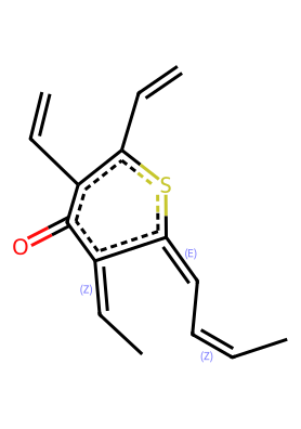 C=Cc1sc(=C/C=C\C)/c(=C\C)c(=O)c1C=C